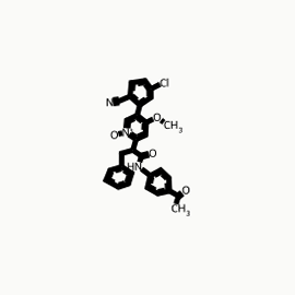 COc1cc(C(Cc2ccccc2)C(=O)Nc2ccc(C(C)=O)cc2)[n+]([O-])cc1-c1cc(Cl)ccc1C#N